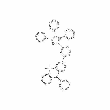 CC1(C)c2ccccc2N(c2ccccc2)c2ccc(-c3cccc(-c4nc(-c5ccccc5)c(-c5ccccc5)n4-c4ccccc4)c3)cc21